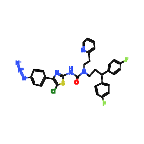 [N-]=[N+]=Nc1ccc(-c2nc(NC(=O)N(CCc3ccccn3)CCC(c3ccc(F)cc3)c3ccc(F)cc3)sc2Cl)cc1